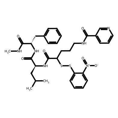 CNC(=O)[C@H](Cc1ccccc1)NC(=O)[C@H](CC(C)C)NC(=O)C(CCCNC(=O)c1cccnc1)SSc1ccccc1[N+](=O)[O-]